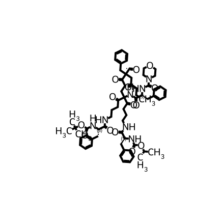 CCCC(=O)CC([C]=O)(Cc1ccccc1)C(=O)CCC(NC(=O)[C@H](Cc1ccccc1)NC(=O)N1CCOCC1)(C(=O)CCCNC(=O)[C@H](Cc1ccccc1)NC(=O)OC(C)C)C(=O)CCCNC(=O)[C@H](Cc1ccccc1)NC(=O)OC(C)(C)C